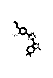 C=CCc1ccc(-c2nnc(-c3nn(C)c4c3CCC(C)(C)C4)o2)cc1C(F)(F)F